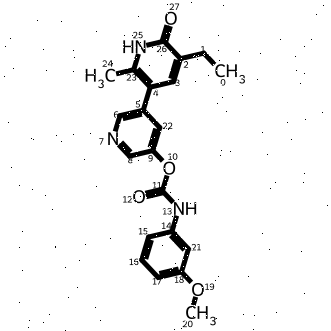 CCc1cc(-c2cncc(OC(=O)Nc3cccc(OC)c3)c2)c(C)[nH]c1=O